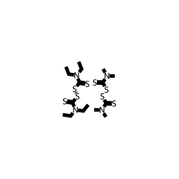 CCN(CC)C(=S)SSC(=S)N(CC)CC.CN(C)C(=S)SSC(=S)N(C)C